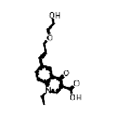 CCn1cc(C(=O)O)c(=O)c2cc(C=CCOCCO)ccc21